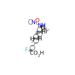 C=C(C)[C@@H]1CC[C@]2(NCC(=O)N3CCCCC3)CC[C@]3(C)[C@H](CC[C@@H]4[C@@]5(C)CC=C(C6=CC[C@](CF)(C(=O)O)CC6)C(C)(C)[C@@H]5CC[C@]43C)[C@@H]12